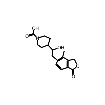 Cc1c(CC(O)C2CCN(C(=O)O)CC2)ccc2c1COC2=O